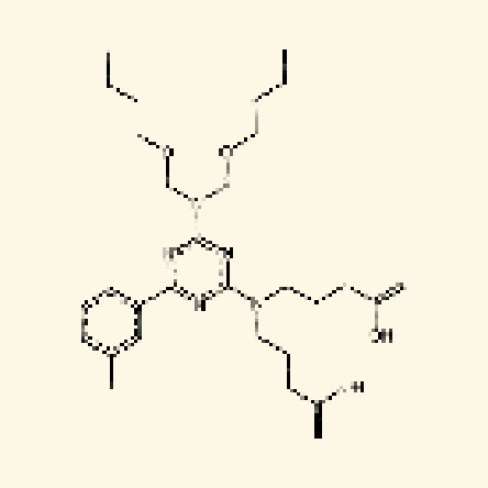 C=C(O)CCCN(CCCC(=C)O)c1nc(-c2cccc(C)c2)nc(N(COCCCC)COCCCC)n1